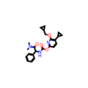 CN(C)C(=O)C(NC(=O)Oc1ccc(C2CC2)c(OCC2CC2)n1)c1ccccc1